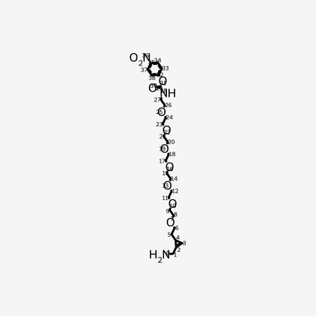 NCC1=CC1CCOCCOCCOCCOCCOCCOCCOCCNC(=O)Oc1ccc([N+](=O)[O-])cc1